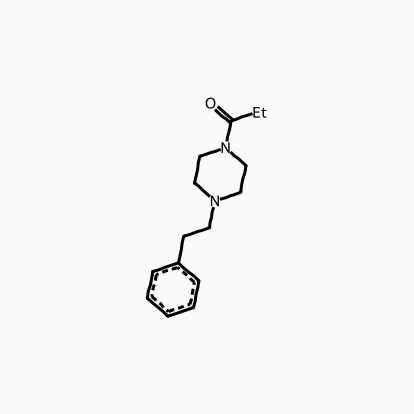 [CH2]CC(=O)N1CCN(CCc2ccccc2)CC1